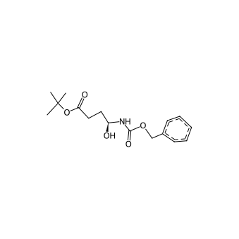 CC(C)(C)OC(=O)CC[C@H](O)NC(=O)OCc1ccccc1